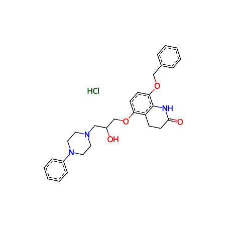 Cl.O=C1CCc2c(OCC(O)CN3CCN(c4ccccc4)CC3)ccc(OCc3ccccc3)c2N1